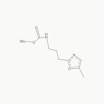 Cc1cnc(CCCNC(=O)OC(C)(C)C)o1